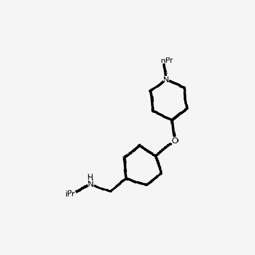 CCCN1CCC(OC2CCC(CNC(C)C)CC2)CC1